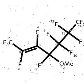 COC(F)(C(F)=C(F)C(F)(F)F)C(F)(F)C(F)(F)C(F)(F)F